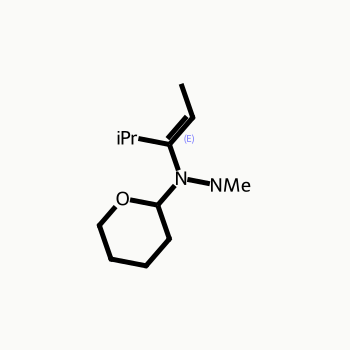 C/C=C(\C(C)C)N(NC)C1CCCCO1